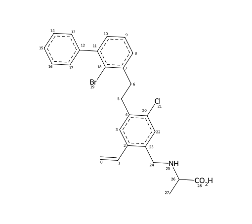 C=Cc1cc(CCc2cccc(-c3ccccc3)c2Br)c(Cl)cc1CNC(C)C(=O)O